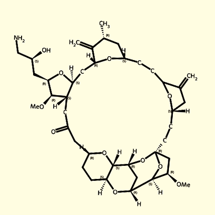 C=C1C[C@@H]2CC[C@]34C[C@@H](OC)[C@H](O3)[C@H]3C[C@@H](O4)[C@H]4O[C@H](CC[C@@H]4O3)CC(=O)C[C@@H]3[C@@H](OC)[C@@H](C[C@H](O)CN)O[C@H]3C[C@H]3O[C@@H](CCC1O2)C[C@@H](C)C3=C